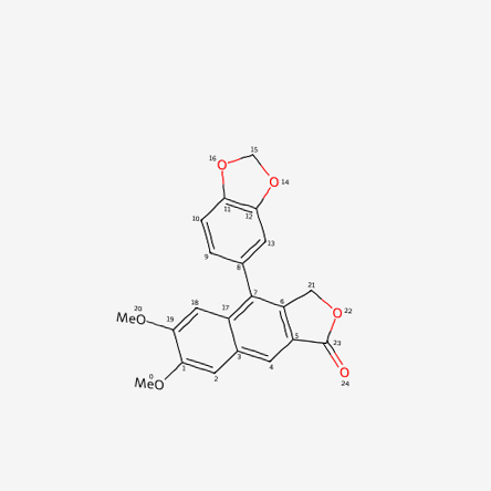 COc1cc2cc3c(c(-c4ccc5c(c4)OCO5)c2cc1OC)COC3=O